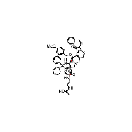 COc1ccc(COC(=O)C2=C(C[n+]3cc(NC(=O)NCCNB(C)O)c(NC(c4ccccc4)(c4ccccc4)c4ccccc4)n3C)CSC3[C@H](/N=C\c4ccccc4O)C(=O)N23)cc1